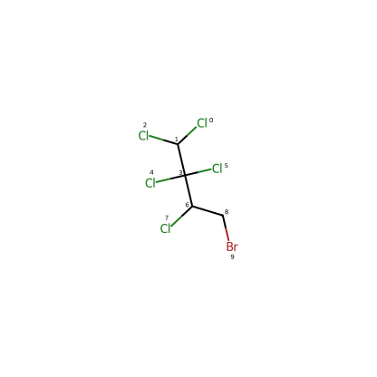 ClC(Cl)C(Cl)(Cl)C(Cl)CBr